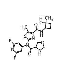 Cc1sc(N(C(=O)C2COCN2)c2cc(F)nc(F)c2)nc1C(=O)NC1CCC1(C)C